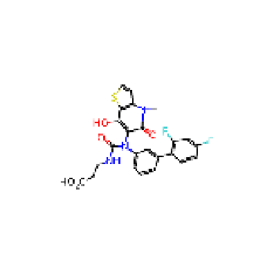 Cn1c(=O)c(N(C(=O)NCCC(=O)O)c2cccc(-c3ccc(F)cc3F)c2)c(O)c2sccc21